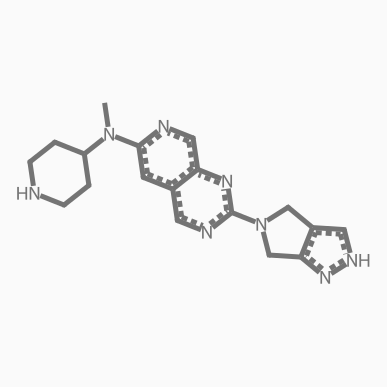 CN(c1cc2cnc(N3Cc4c[nH]nc4C3)nc2cn1)C1CCNCC1